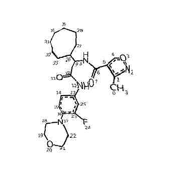 Cc1nocc1C(=O)NC(C(=O)Nc1ccc(N2CCOCC2)c(F)c1)C1CCCCCCC1